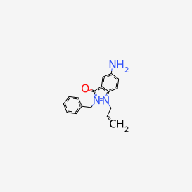 C=CCn1c2ccc(N)cc2c(=O)n1Cc1ccccc1